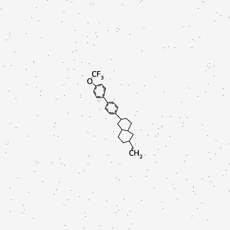 C=CC1CCC2CC(c3ccc(-c4ccc(OC(F)(F)F)cc4)cc3)CCC2C1